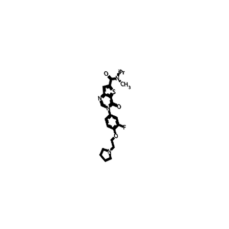 CC(C)N(C)C(=O)c1cc2ncn(-c3ccc(OCCN4CCCC4)c(F)c3)c(=O)c2s1